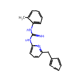 Cc1ccccc1NC(=N)Nc1cccc(Cc2ccccc2)n1